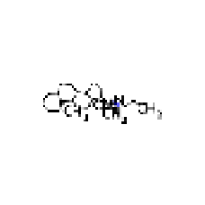 C=CC/N=C(\C)C1CCC2C3CCC4CCCCC4(C)C3CCC12C